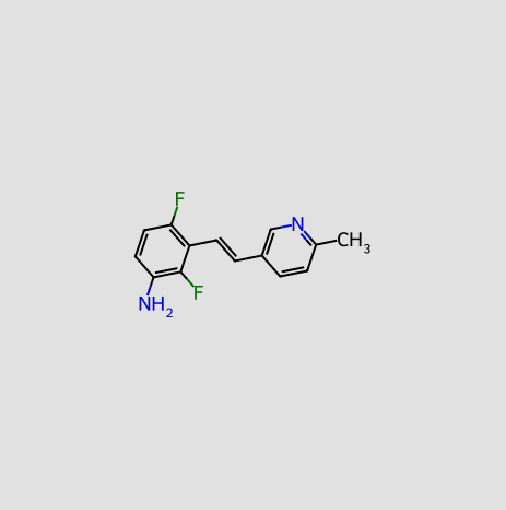 Cc1ccc(C=Cc2c(F)ccc(N)c2F)cn1